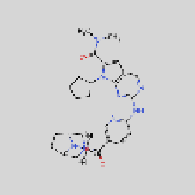 [2H]C([2H])([2H])N1C2CCC1CN(C(=O)c1ccc(Nc3ncc4cc(C(=O)N(C)C)n(C5CCCC5)c4n3)nc1)C2